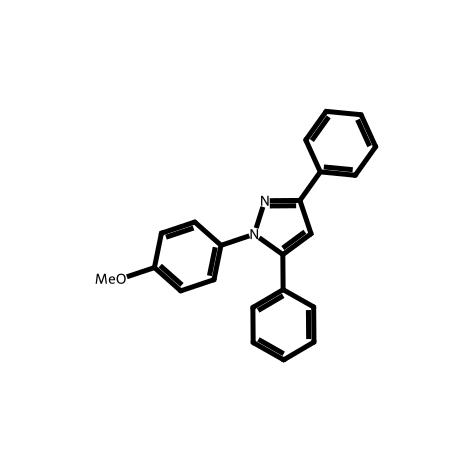 COc1ccc(-n2nc(-c3ccccc3)cc2-c2ccccc2)cc1